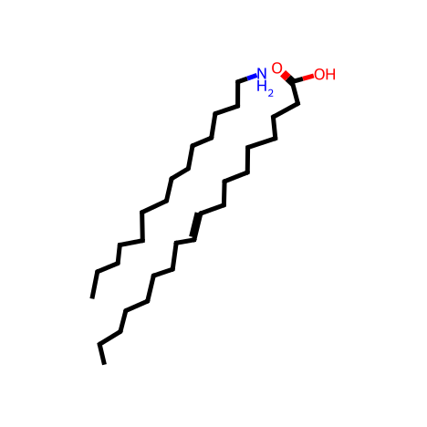 CCCCCCCCC=CCCCCCCCC(=O)O.CCCCCCCCCCCCCCN